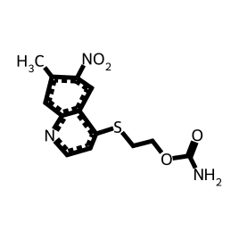 Cc1cc2nccc(SCCOC(N)=O)c2cc1[N+](=O)[O-]